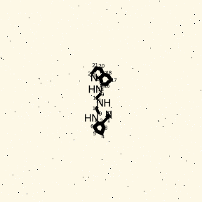 N#Cc1ccccc1NCCNCCNc1cccc2cccnc12